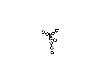 C=C/C=C\C(=C/C)c1ccc(N(c2ccc(-c3ccccc3)cc2)c2ccc(-c3ccc(-c4ccc(-c5ccccc5)cc4)cc3)c(C3=CC=CCC3)c2)cc1